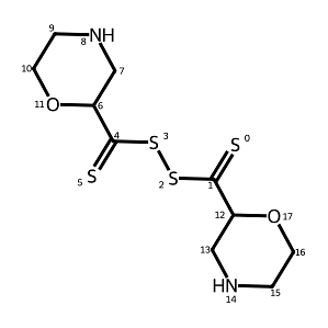 S=C(SSC(=S)C1CNCCO1)C1CNCCO1